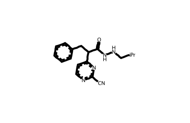 CC(C)CNNC(=O)C(Cc1ccccc1)c1ccnc(C#N)n1